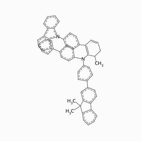 CC1CC=CC(c2ccc(-n3c4ccccc4c4ccccc43)cc2)=C1N(c1ccc(-c2ccccc2)cc1)c1ccc(-c2ccc3c(c2)C(C)(C)c2ccccc2-3)cc1